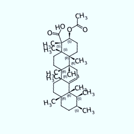 CC(=O)O[C@H]1CC[C@]2(C)[C@]3(C)CC=C4[C@](C)(CC[C@@]5(C)CC[C@H](C)[C@H](C)[C@@]45C)[C@]3(C)CC[C@]2(C)[C@]1(C)C(=O)O